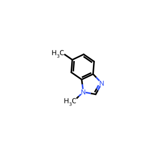 Cc1ccc2ncn(C)c2c1